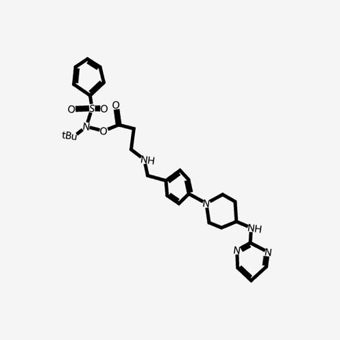 CC(C)(C)N(OC(=O)CCNCc1ccc(N2CCC(Nc3ncccn3)CC2)cc1)S(=O)(=O)c1ccccc1